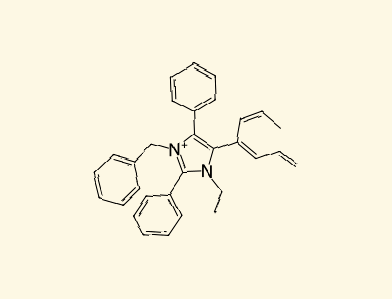 C=C/C=C(\C=C/C)c1c(-c2ccccc2)[n+](Cc2ccccc2)c(-c2ccccc2)n1CC